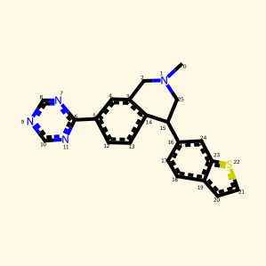 CN1Cc2cc(-c3ncncn3)ccc2C(c2ccc3ccsc3c2)C1